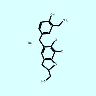 Cl.NCc1cc(Cc2cc3c(c(Cl)c2Cl)OC(CO)C3)ccc1O